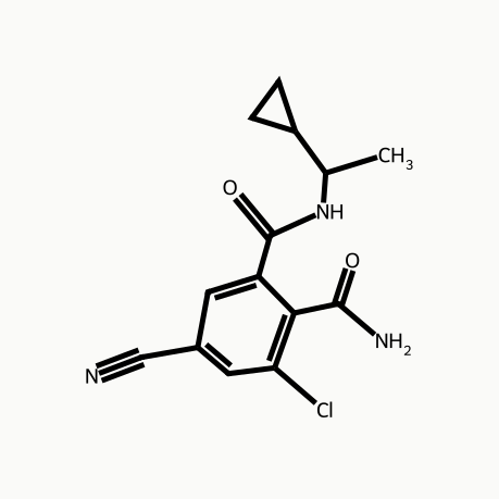 CC(NC(=O)c1cc(C#N)cc(Cl)c1C(N)=O)C1CC1